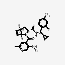 CCNc1cnc(C)cc1C(=O)N1[C@@H](C(=O)N[C@@H](c2ccc(C(F)(F)F)cc2F)C2CC2)C[C@H]2C=C[C@H]21